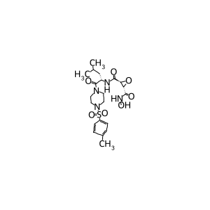 Cc1ccc(S(=O)(=O)N2CCN(C(=O)[C@H](CC(C)C)NC(=O)[C@H]3O[C@@H]3C(=O)NO)CC2)cc1